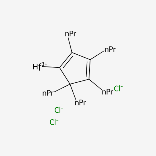 CCCC1=[C]([Hf+3])C(CCC)(CCC)C(CCC)=C1CCC.[Cl-].[Cl-].[Cl-]